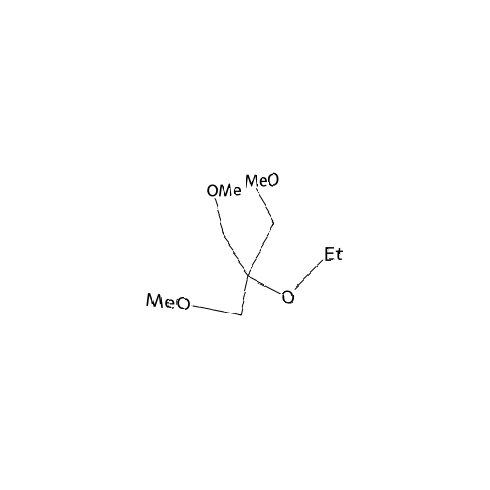 CCOC(COC)(COC)COC